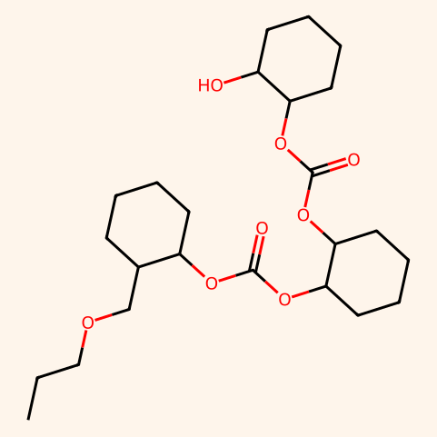 CCCOCC1CCCCC1OC(=O)OC1CCCCC1OC(=O)OC1CCCCC1O